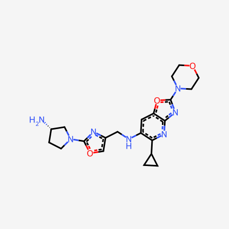 N[C@H]1CCN(c2nc(CNc3cc4oc(N5CCOCC5)nc4nc3C3CC3)co2)C1